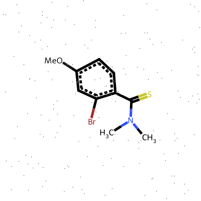 COc1ccc(C(=S)N(C)C)c(Br)c1